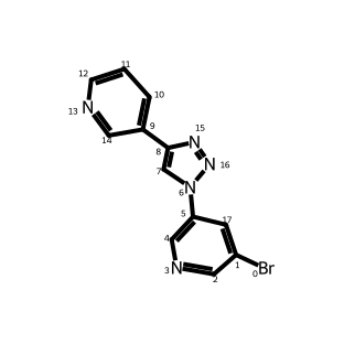 Brc1cncc(-n2cc(-c3cccnc3)nn2)c1